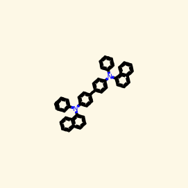 c1ccc(N(c2ccc(-c3ccc(N(c4ccccc4)c4cccc5ccccc45)cc3)cc2)c2cccc3ccccc23)cc#1